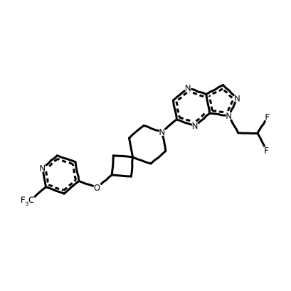 FC(F)Cn1ncc2ncc(N3CCC4(CC3)CC(Oc3ccnc(C(F)(F)F)c3)C4)nc21